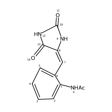 CC(=O)Nc1ccccc1/C=C1/NC(=O)NC1=O